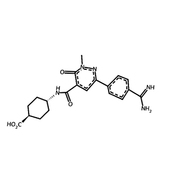 Cn1nc(-c2ccc(C(=N)N)cc2)cc(C(=O)N[C@H]2CC[C@H](C(=O)O)CC2)c1=O